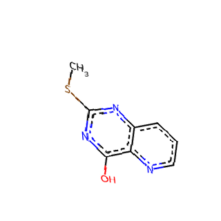 CSc1nc(O)c2ncccc2n1